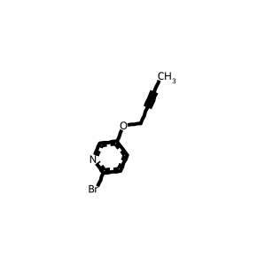 CC#CCOc1ccc(Br)nc1